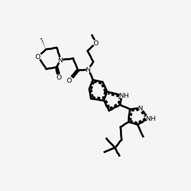 COCCN(C(=O)CN1C[C@@H](C)OCC1=O)c1ccc2cc(-c3n[nH]c(C)c3CCC(C)(C)C)[nH]c2c1